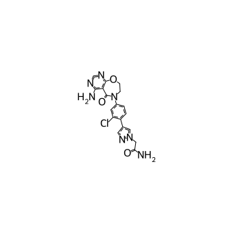 NC(=O)Cn1cc(-c2ccc(N3CCOc4ncnc(N)c4C3=O)cc2Cl)cn1